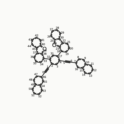 C(#Cc1cc(C#Cc2ccc3ccccc3c2)c(-c2cccc3c2oc2ccccc23)cc1-c1cccc2c1oc1ccccc12)c1ccc2ccccc2c1